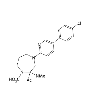 CNC1(C(C)=O)CN(c2ccc(-c3ccc(Cl)cc3)cn2)CCCN1C(=O)O